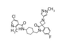 Cc1ncc(Cl)cc1C(=O)NC1CCC(CN2C(=O)C3(CN(c4cnn(C)c4)C3)c3ccc(F)cc32)CC1